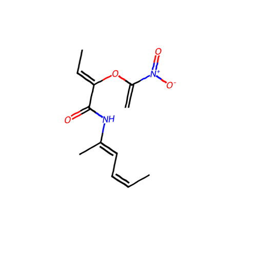 C=C(O/C(=C\C)C(=O)N/C(C)=C/C=C\C)[N+](=O)[O-]